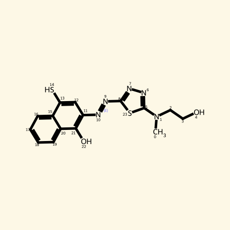 CN(CCO)c1nnc(/N=N/c2cc(S)c3ccccc3c2O)s1